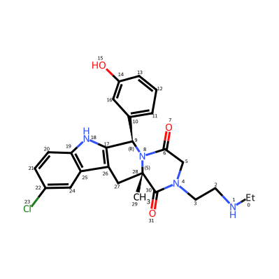 CCNCCN1CC(=O)N2[C@H](c3cccc(O)c3)c3[nH]c4ccc(Cl)cc4c3C[C@@]2(C)C1=O